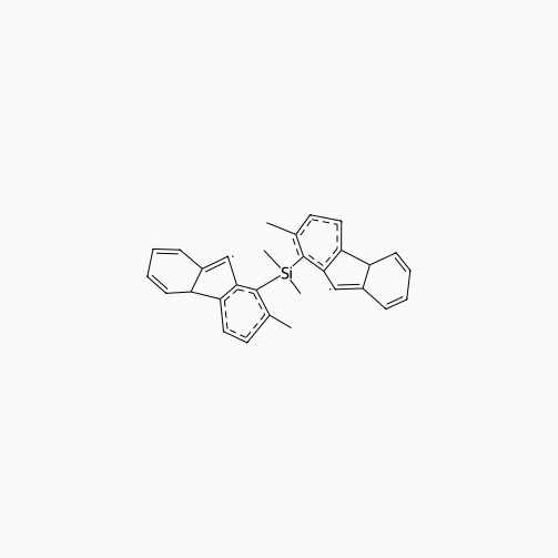 Cc1ccc2c(c1[Si](C)(C)c1c(C)ccc3c1[C]=C1C=CC=CC13)[C]=C1C=CC=CC12